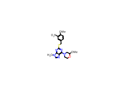 COc1ccc(CSc2nc(N3CCOC(OC)C3)c3ncn(C)c3n2)cc1[N+](=O)[O-]